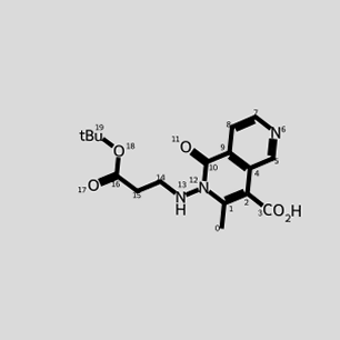 Cc1c(C(=O)O)c2cnccc2c(=O)n1NCCC(=O)OC(C)(C)C